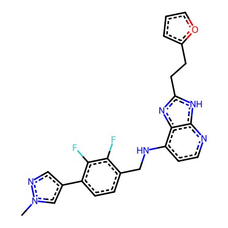 Cn1cc(-c2ccc(CNc3ccnc4[nH]c(CCc5ccco5)nc34)c(F)c2F)cn1